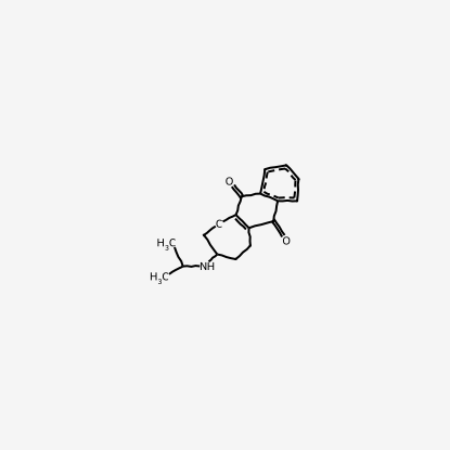 CC(C)NC1CCC2=C(CC1)C(=O)c1ccccc1C2=O